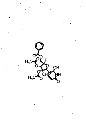 CC(=O)O[C@H]1[C@@](C)(OC(C)=O)[C@H](N2C=CC(=O)NC2O)O[C@]1(F)COC(=O)c1ccccc1